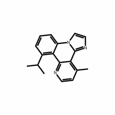 Cc1ccnc2c3c(C(C)C)cccc3n3ccnc3c12